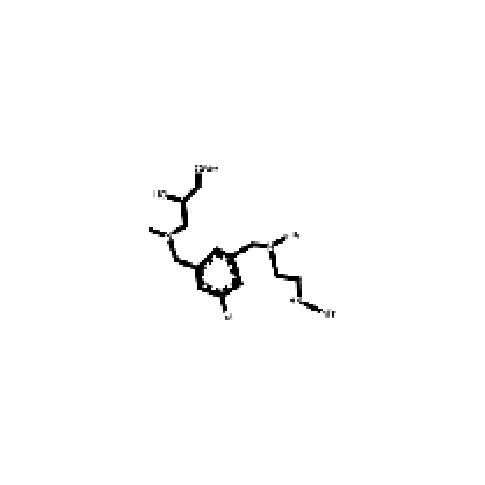 CCCNCCN(CCC)Cc1cc(CC)cc(CN(C)CC(O)COC)c1